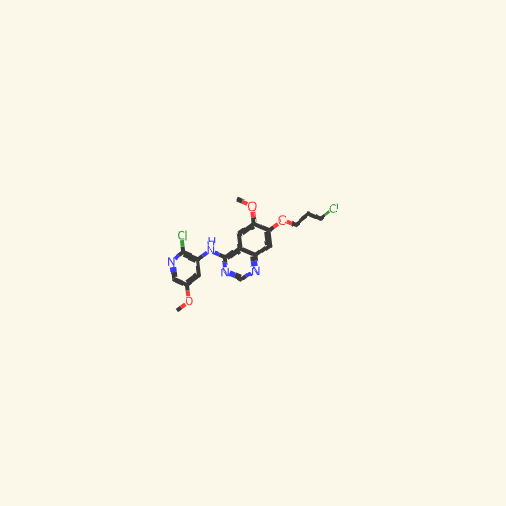 COc1cnc(Cl)c(Nc2ncnc3cc(OCCCCl)c(OC)cc23)c1